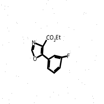 CCOC(=O)c1ncoc1-c1cccc(F)c1